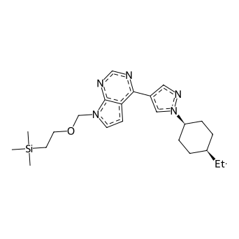 [CH2][CH][C@H]1CC[C@@H](n2cc(-c3ncnc4c3ccn4COCC[Si](C)(C)C)cn2)CC1